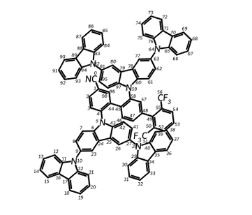 N#Cc1ccc(-n2c3ccc(-n4c5ccccc5c5ccccc54)cc3c3cc(-n4c5ccccc5c5ccccc54)ccc32)c(-c2ccc(-c3c(C(F)(F)F)cccc3C(F)(F)F)cc2-n2c3ccc(-n4c5ccccc5c5ccccc54)cc3c3cc(-n4c5ccccc5c5ccccc54)ccc32)c1